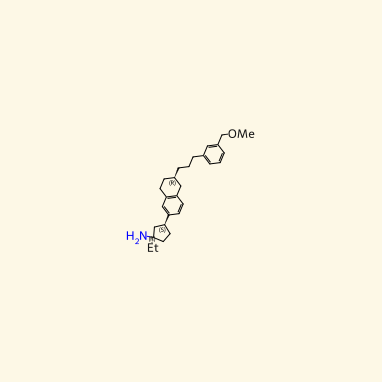 CC[C@@]1(N)CC[C@H](c2ccc3c(c2)CC[C@@H](CCCc2cccc(COC)c2)C3)C1